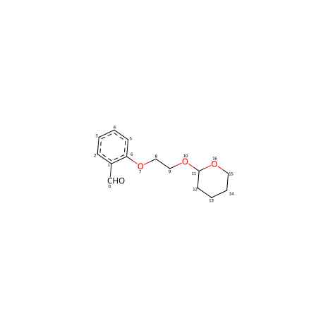 O=Cc1ccccc1OCCOC1CCCCO1